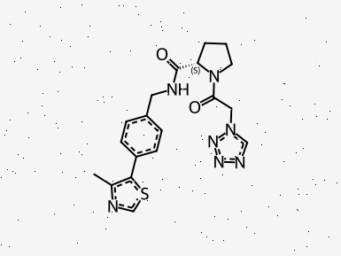 Cc1ncsc1-c1ccc(CNC(=O)[C@@H]2CCCN2C(=O)Cn2cnnn2)cc1